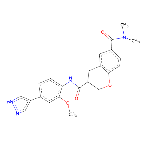 COc1cc(-c2cn[nH]c2)ccc1NC(=O)C1COc2ccc(C(=O)N(C)C)cc2C1